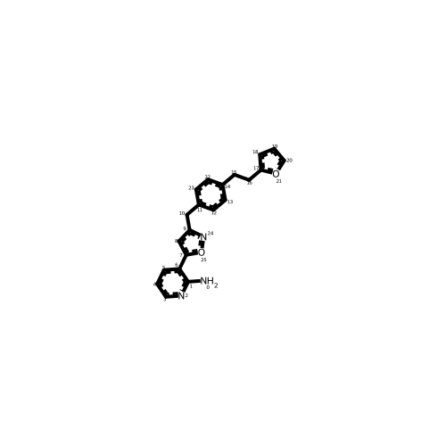 Nc1ncccc1-c1cc(Cc2ccc(CCc3ccco3)cc2)no1